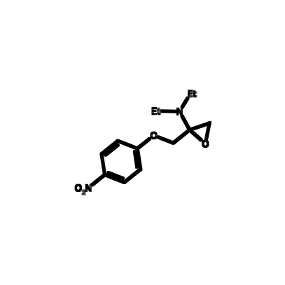 CCN(CC)C1(COc2ccc([N+](=O)[O-])cc2)CO1